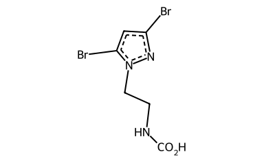 O=C(O)NCCn1nc(Br)cc1Br